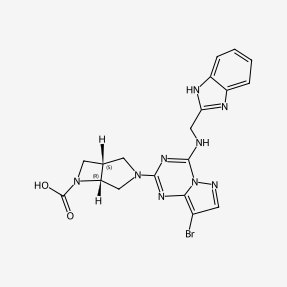 O=C(O)N1C[C@@H]2CN(c3nc(NCc4nc5ccccc5[nH]4)n4ncc(Br)c4n3)C[C@@H]21